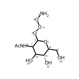 CC(=O)NC1C(OOON)OC(CO)[C@H](O)C1O